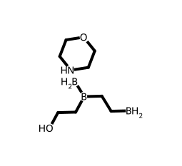 BCCB(B)CCO.C1COCCN1